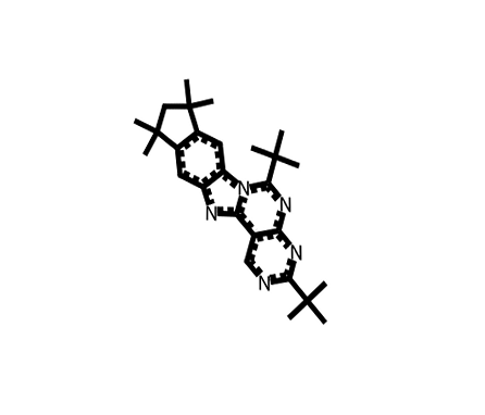 CC(C)(C)c1ncc2c(n1)nc(C(C)(C)C)n1c3cc4c(cc3nc21)C(C)(C)CC4(C)C